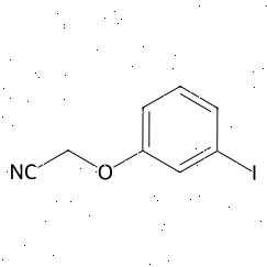 N#CCOc1cccc(I)c1